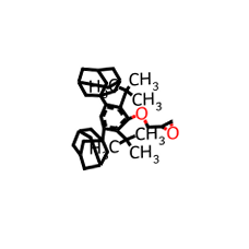 CC(C)(C)c1c(C23CC4CC(CC(C4)C2)C3)cc(C23CC4CC(CC(C4)C2)C3)c(C(C)(C)C)c1OCC1CO1